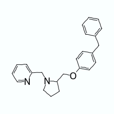 c1ccc(Cc2ccc(OCC3CCCN3Cc3ccccn3)cc2)cc1